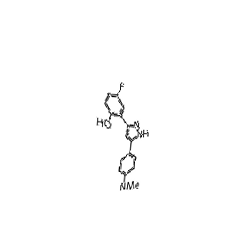 CNc1ccc(-c2cc(-c3cc(F)ccc3O)n[nH]2)cc1